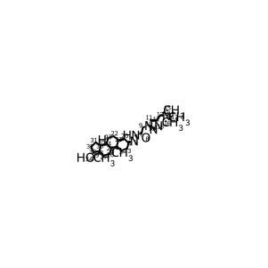 C[C@]12CC/C(=N/NC(=O)Cn3cc(C[N+](C)(C)C)nn3)C=C1CC[C@@H]1C2CC[C@@]2(C)C1CC[C@H]2O